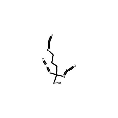 CCCCCC(CCCN=C=O)(N=C=O)N=C=O